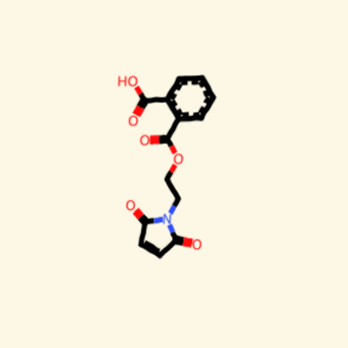 O=C(O)c1ccccc1C(=O)OCCN1C(=O)C=CC1=O